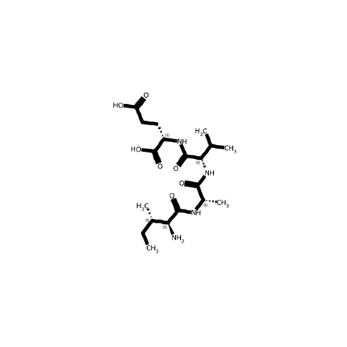 CC[C@H](C)[C@H](N)C(=O)N[C@@H](C)C(=O)N[C@H](C(=O)N[C@@H](CCC(=O)O)C(=O)O)C(C)C